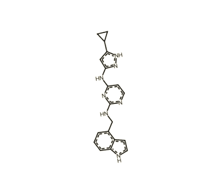 c1cc(CNc2nccc(Nc3cc(C4CC4)[nH]n3)n2)c2cc[nH]c2c1